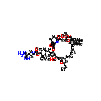 CC/C=C/C[C@@H]1/C=C(\C)C[C@H](C)C[C@H](OC)[C@H]2O[C@@](O)(C(=O)C(=O)N3CCCC[C@H]3C(=O)O[C@H](/C(C)=C/[C@@H]3CC[C@@H](OC(=O)N4CC(C(=N)N)C4)[C@H](OC)C3)[C@H](C)[C@@H](O)CC1=O)[C@H](C)C[C@@H]2OC